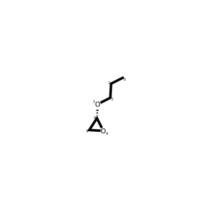 CCCO[C@H]1CO1